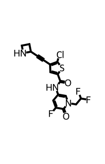 O=C(Nc1cc(F)c(=O)n(CC(F)F)c1)c1cc(C#CC2CCN2)c(Cl)s1